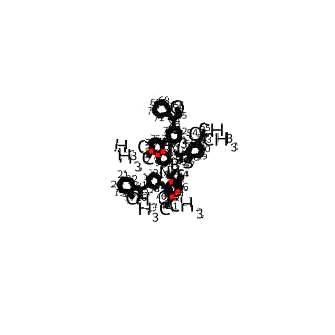 CC(C)(C)c1cc2c3c(c1)N(c1ccc(-c4coc5ccccc45)cc1-c1ccccc1)c1c(sc4ccc(C(C)(C)C)cc14)B3c1sc3ccc(C(C)(C)C)cc3c1N2c1ccc(-c2coc3ccccc23)cc1-c1ccccc1